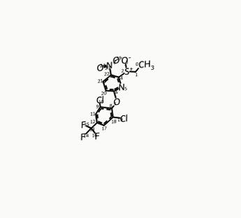 CC[S+]([O-])c1nc(Oc2c(Cl)cc(C(F)(F)F)cc2Cl)ccc1[N+](=O)[O-]